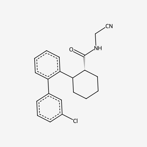 N#CCNC(=O)[C@@H]1CCCCC1c1ccccc1-c1cccc(Cl)c1